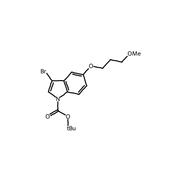 COCCCOc1ccc2c(c1)c(Br)cn2C(=O)OC(C)(C)C